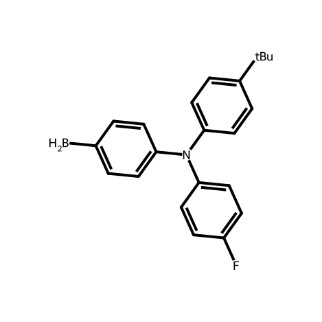 Bc1ccc(N(c2ccc(F)cc2)c2ccc(C(C)(C)C)cc2)cc1